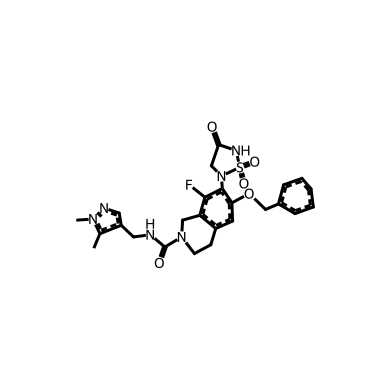 Cc1c(CNC(=O)N2CCc3cc(OCc4ccccc4)c(N4CC(=O)NS4(=O)=O)c(F)c3C2)cnn1C